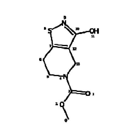 COC(=O)N1CCc2snc(O)c2C1